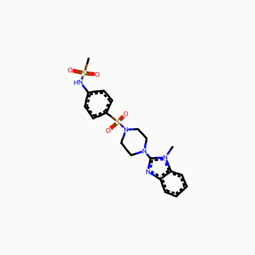 Cn1c(N2CCN(S(=O)(=O)c3ccc(NS(C)(=O)=O)cc3)CC2)nc2ccccc21